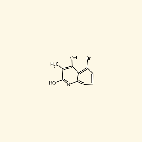 Cc1c(O)nc2cccc(Br)c2c1O